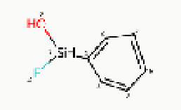 O[SiH](F)c1ccccc1